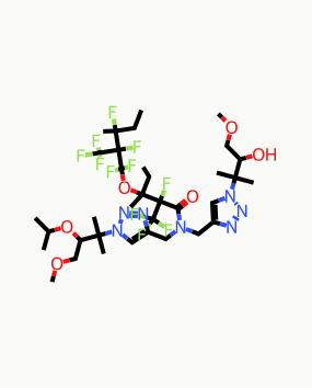 CCC(C)(F)C(F)(C(F)(F)F)C(F)(F)OC(C)(CC)C(F)(C(=O)N(Cc1cn(C(C)(C)C(O)COC)nn1)Cc1cn(C(C)(C)C(COC)OC(C)C)nn1)C(F)(F)F